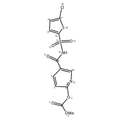 COC(=O)Oc1ccc(C(=O)NS(=O)(=O)c2ccc(Cl)s2)cn1